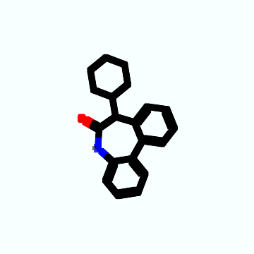 O=C1[N]c2ccccc2-c2ccccc2C1C1CCCCC1